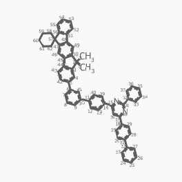 CC1(C)c2cc(-c3cccc(-c4ccc(-c5cc(-c6ccc(-c7ccccc7)cc6)nc(-c6ccccc6)n5)cc4)c3)ccc2-c2cc3c(cc21)-c1ccccc1C31CCCCC1